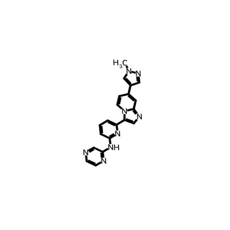 Cn1cc(-c2ccn3c(-c4cccc(Nc5cnccn5)n4)cnc3c2)cn1